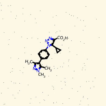 Cc1nn(C)c(C)c1-c1ccc(-n2nnc(C(=O)O)c2C2CC2)cc1